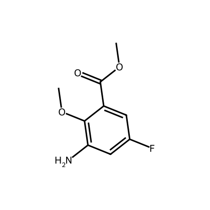 COC(=O)c1cc(F)cc(N)c1OC